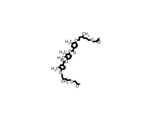 Cc1cc(C(=O)Oc2ccc(OC(=O)c3ccc(OCCC(C)CCCOCC4CO4)c(C)c3)c(C)c2C)ccc1OCCC(C)CCCOCC1CO1